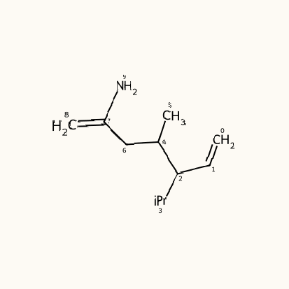 C=CC(C(C)C)C(C)CC(=C)N